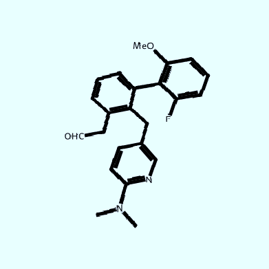 COc1cccc(F)c1-c1cccc(CC=O)c1Cc1ccc(N(C)C)nc1